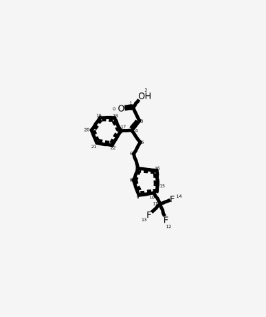 O=C(O)/C=C(/CCc1ccc(C(F)(F)F)cc1)c1ccccc1